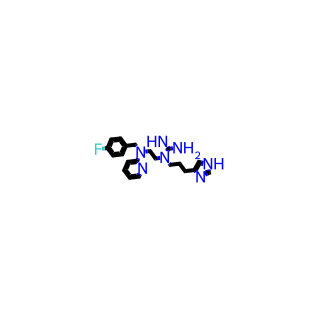 N=C(N)N(CCCc1c[nH]cn1)CCN(Cc1ccc(F)cc1)c1ccccn1